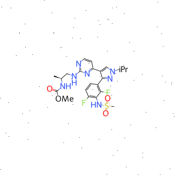 COC(=O)N[C@@H](C)CNc1nccc(-c2cn(C(C)C)nc2-c2ccc(F)c(NS(C)(=O)=O)c2F)n1